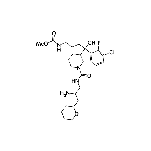 COC(=O)NCCCC(O)(c1cccc(Cl)c1F)C1CCCN(C(=O)NCC(N)CC2CCCCO2)C1